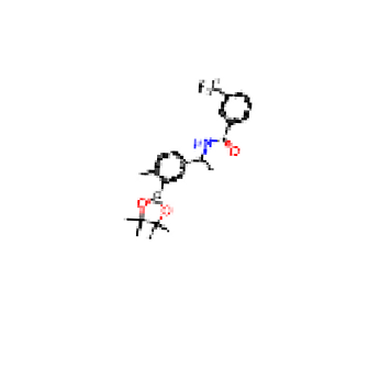 Cc1ccc(C(C)NC(=O)c2cccc(C(F)(F)F)c2)cc1B1OC(C)(C)C(C)(C)O1